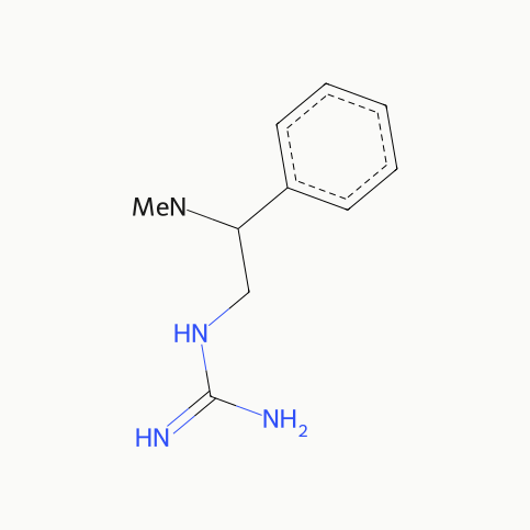 [CH2]NC(CNC(=N)N)c1ccccc1